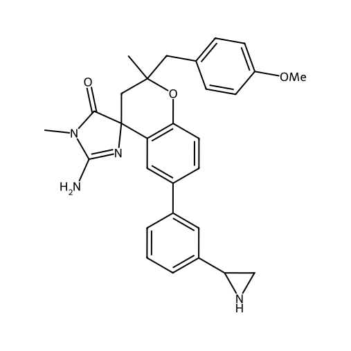 COc1ccc(CC2(C)CC3(N=C(N)N(C)C3=O)c3cc(-c4cccc(C5CN5)c4)ccc3O2)cc1